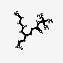 C=CCC(CCC(=O)OC(C)(C)C)COCCO